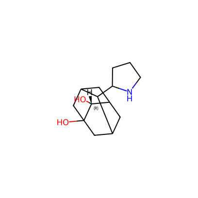 O[C@@H]1C2CC3CC1(O)CC(C2)C3C1CCCN1